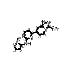 CCCc1nnc2cc(-c3ccnc(Nc4ccnn4C)n3)ccn12